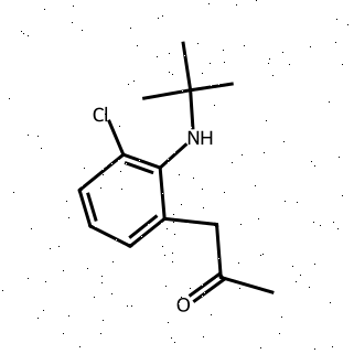 CC(=O)Cc1cccc(Cl)c1NC(C)(C)C